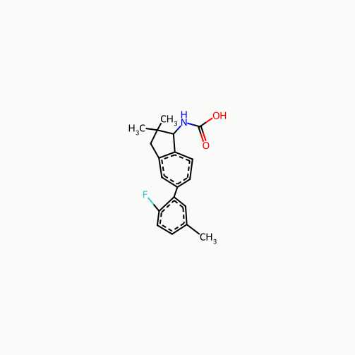 Cc1ccc(F)c(-c2ccc3c(c2)CC(C)(C)C3NC(=O)O)c1